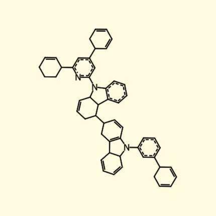 C1=CCC(c2cccc(N3C4=C(CC(C5CC=CC6C5c5ccccc5N6c5cc(C6C=CC=CC6)cc(C6C=CCCC6)n5)C=C4)C4C=CC=CC43)c2)C=C1